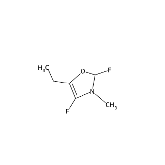 CCC1=C(F)N(C)C(F)O1